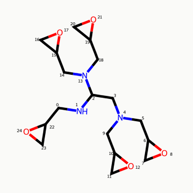 C(NC(CN(CC1CO1)CC1CO1)N(CC1CO1)CC1CO1)C1CO1